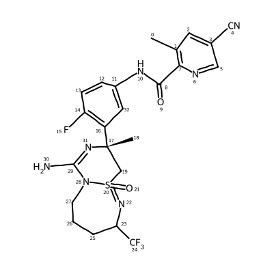 Cc1cc(C#N)cnc1C(=O)Nc1ccc(F)c([C@]2(C)CS3(=O)=NC(C(F)(F)F)CCCN3C(N)=N2)c1